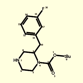 CC(C)(C)OC(=O)N1CCNCC1Cc1cccc(F)c1